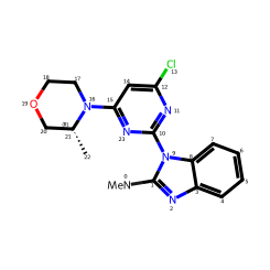 CNc1nc2ccccc2n1-c1nc(Cl)cc(N2CCOC[C@H]2C)n1